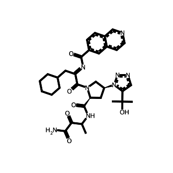 CC(NC(=O)[C@@H]1C[C@H](n2nncc2C(C)(C)O)CN1C(=O)/C(CC1CCCCC1)=N/C(=O)c1ccc2cnccc2c1)C(=O)C(N)=O